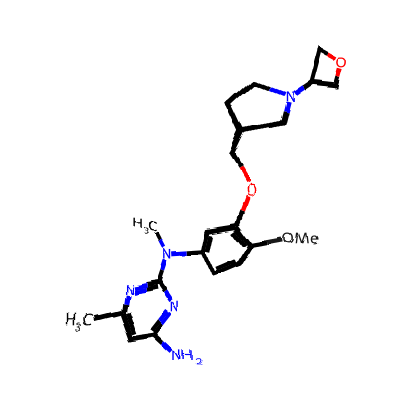 COc1ccc(N(C)c2nc(C)cc(N)n2)cc1OCC1CCN(C2COC2)C1